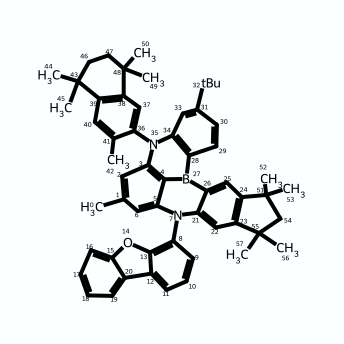 Cc1cc2c3c(c1)N(c1cccc4c1oc1ccccc14)c1cc4c(cc1B3c1ccc(C(C)(C)C)cc1N2c1cc2c(cc1C)C(C)(C)CCC2(C)C)C(C)(C)CC4(C)C